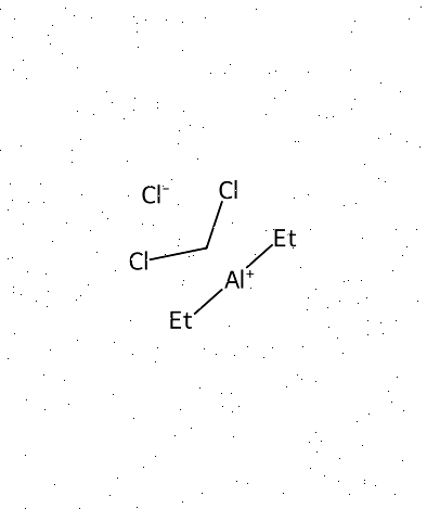 C[CH2][Al+][CH2]C.ClCCl.[Cl-]